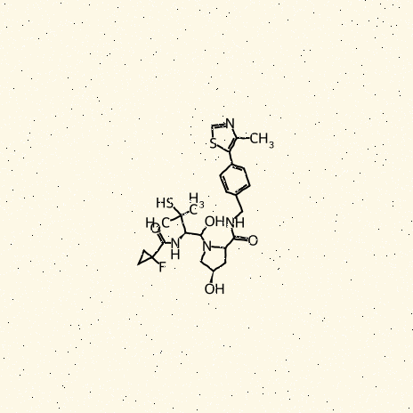 Cc1ncsc1-c1ccc(CNC(=O)C2C[C@@H](O)CN2C(O)[C@@H](NC(=O)C2(F)CC2)C(C)(C)S)cc1